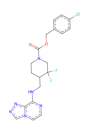 O=C(OCc1ccc(Cl)cc1)N1CCC(CNc2nccn3cnnc23)C(F)(F)C1